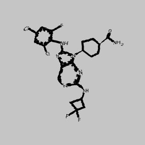 NC(=O)[C@H]1CC[C@@H](n2c(Nc3c(F)cc(Cl)cc3Cl)nc3cnc(NC4CC(F)(F)C4)nc32)CC1